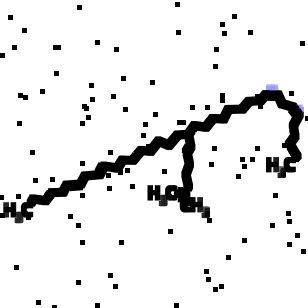 CCCCCC=CCC=CCCCCCCCCC(C=CCCCN(C)C)CCCCCCCC/C=C\C/C=C\CCCCC